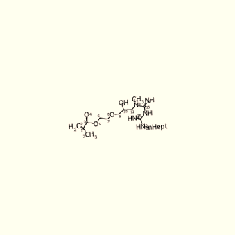 C=C(C)C(=O)OCCOCC(O)CN(C)C(=N)NC(=N)NCCCCCCC